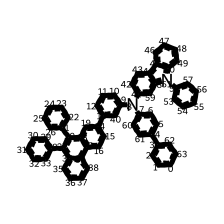 c1ccc(-c2ccc(N(c3cccc(-c4ccc5c(c4)c(-c4ccccc4)c(-c4ccccc4)c4ccccc45)c3)c3ccc4c5ccccc5n(-c5ccccc5)c4c3)cc2)cc1